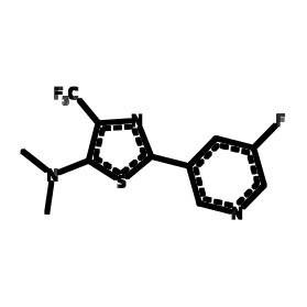 CN(C)c1sc(-c2cncc(F)c2)nc1C(F)(F)F